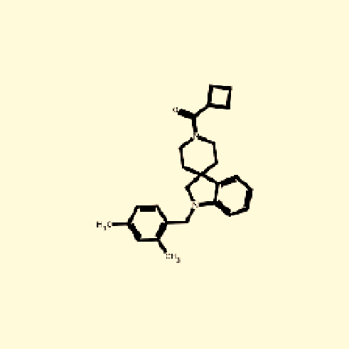 Cc1ccc(CN2CC3(CCN(C(=O)C4CCC4)CC3)c3ccccc32)c(C)c1